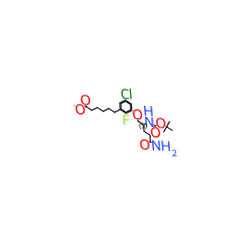 COC(=O)CCCCCc1cc(Cl)cc(OC[C@H](CCC(N)=O)NC(=O)OC(C)(C)C)c1F